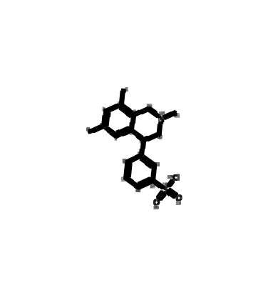 Cc1cc(C)c2c(c1)C(c1cccc(S(=O)(=O)Cl)c1)CN(C)C2